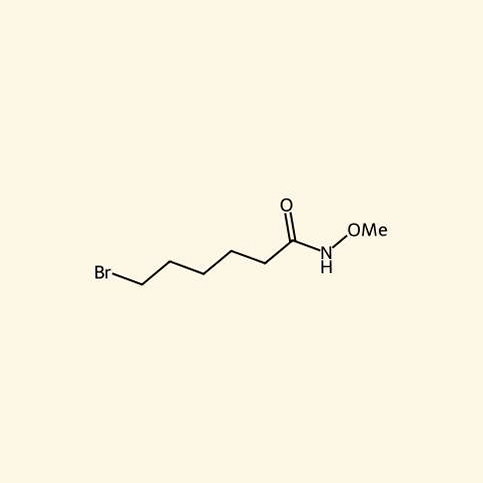 CONC(=O)CCCCCBr